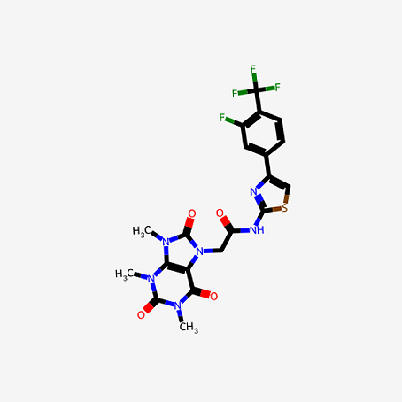 Cn1c(=O)c2c(n(C)c1=O)n(C)c(=O)n2CC(=O)Nc1nc(-c2ccc(C(F)(F)F)c(F)c2)cs1